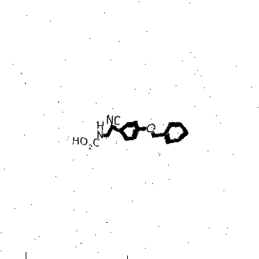 N#C[C@@H](CNC(=O)O)c1ccc(OCc2ccccc2)cc1